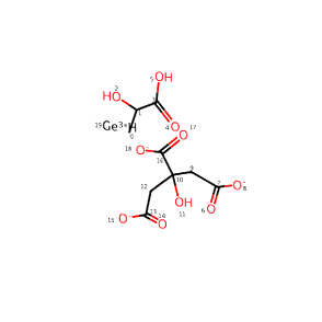 CC(O)C(=O)O.O=C([O-])CC(O)(CC(=O)[O-])C(=O)[O-].[GeH+3]